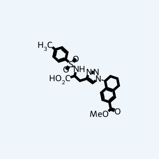 COC(=O)c1ccc2c(c1)CCC[C@H]2n1cc(CC(NS(=O)(=O)c2ccc(C)cc2)C(=O)O)nn1